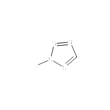 [S]n1ncnn1